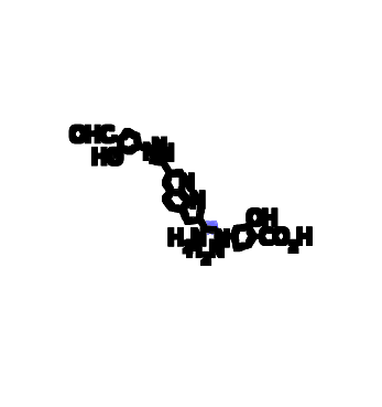 N/C(=C\N(N)c1ccc(C(=O)O)c(O)c1)c1cnc2c(ccc3cc(-c4cn(-c5ccc(C=O)c(O)c5)nn4)cnc32)c1